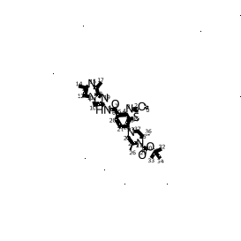 COc1nc2c(C(=O)Nc3cn4cc(C)nc(C)c4n3)ccc(N3C[C@H](C)N(C(=O)OC(C)(C)C)[C@@H](C)C3)c2s1